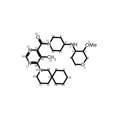 COC1COCCC1NC1CCN(C(=O)c2ncnc(N3CCCC4(CCCCC4)C3)c2C)CC1